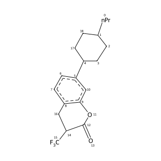 CCCC1CCC(c2ccc3c(c2)OC(=O)C(C(F)(F)F)C3)CC1